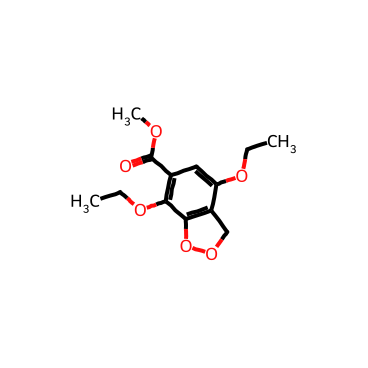 CCOc1cc(C(=O)OC)c(OCC)c2c1COO2